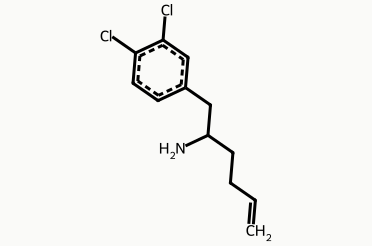 C=CCCC(N)Cc1ccc(Cl)c(Cl)c1